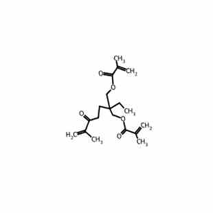 C=C(C)C(=O)CCC(CC)(COC(=O)C(=C)C)COC(=O)C(=C)C